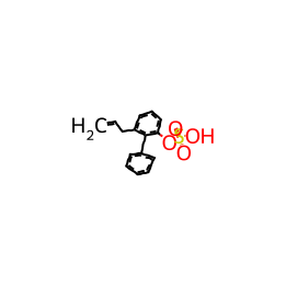 C=CCc1cccc(OS(=O)(=O)O)c1-c1ccccc1